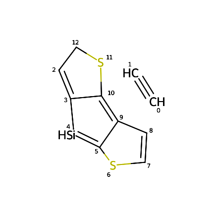 C#C.C1=C2[SiH]=c3sccc3=C2SC1